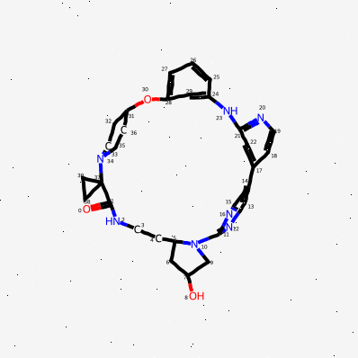 O=C1NCCC2CC(O)CN2c2ncc(cn2)-c2ccnc(c2)Nc2cccc(c2)OC2CCN(CC2)C12CC2